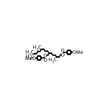 COc1ccc(C(=O)OCC=C(C)CCC=C(CCC=C(C)CCC=C(C)C)COC(=O)c2ccc(OC)cc2)cc1